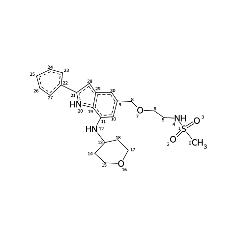 CS(=O)(=O)NCCOCc1cc(NC2CCOCC2)c2[nH]c(-c3ccccc3)cc2c1